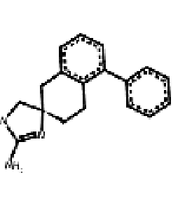 NC1=N[C@]2(CCc3c(cccc3-c3ccccc3)C2)CN1